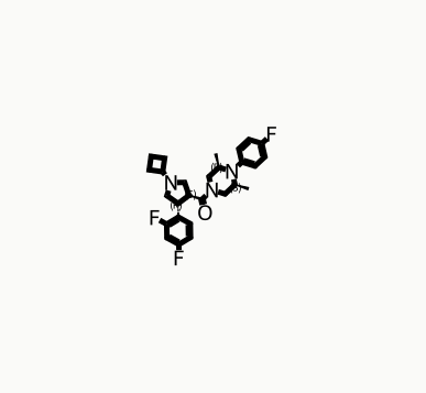 C[C@@H]1CN(C(=O)[C@@H]2CN(C3CCC3)C[C@H]2c2ccc(F)cc2F)C[C@H](C)N1c1ccc(F)cc1